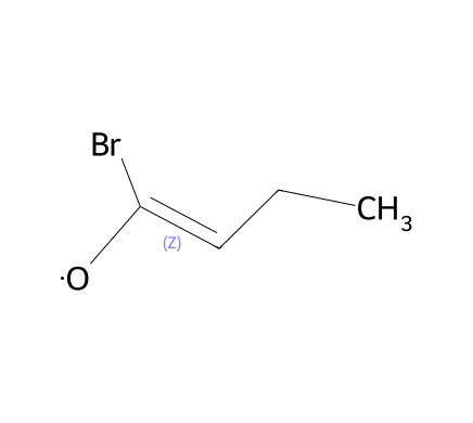 CC/C=C(/[O])Br